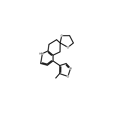 Cc1oncc1C1=C=CNC2=C1CC1(CC2)OCCO1